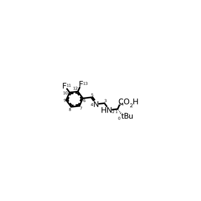 CC(C)(C)[C@H](NC/N=C/c1cccc(F)c1F)C(=O)O